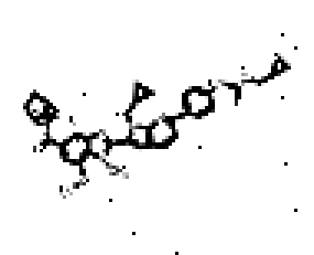 COc1cc(C(=O)N2CC3CCC2[C@@H]3C)cc2nc(-c3cc4ccc(-c5ccc(NC(=O)OCC6CC6)cc5)nc4n3CC3CC3)n(C)c12